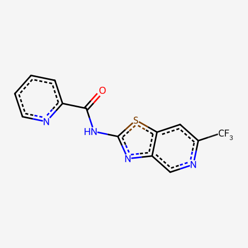 O=C(Nc1nc2cnc(C(F)(F)F)cc2s1)c1ccccn1